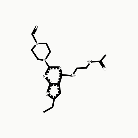 CCc1cc2c(NCCNC(C)=O)nc(N3CCN(C=O)CC3)nc2s1